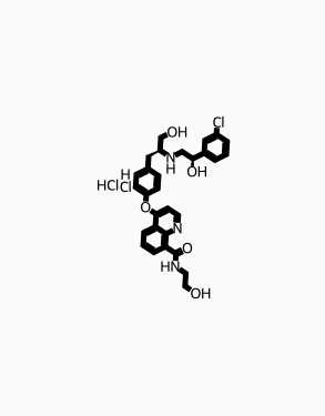 Cl.Cl.O=C(NCCO)c1cccc2c(Oc3ccc(C[C@@H](CO)NC[C@H](O)c4cccc(Cl)c4)cc3)ccnc12